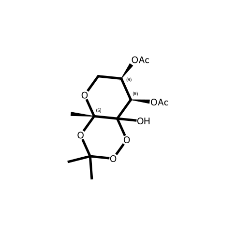 CC(=O)O[C@@H]1[C@H](OC(C)=O)CO[C@@]2(C)OC(C)(C)OOC12O